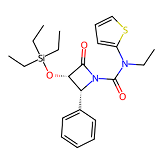 CCN(C(=O)N1C(=O)[C@@H](O[Si](CC)(CC)CC)[C@H]1c1ccccc1)c1cccs1